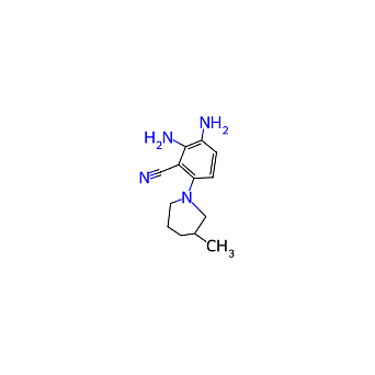 CC1CCCN(c2ccc(N)c(N)c2C#N)C1